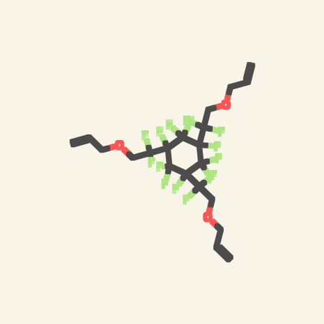 C=CCOCC(F)(F)C1(F)C(F)(F)C(F)(C(F)(F)COCC=C)C(F)(F)C(F)(C(F)(F)COCC=C)C1(F)F